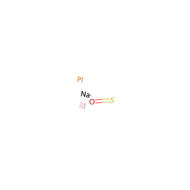 O=S.[B].[Na].[P]